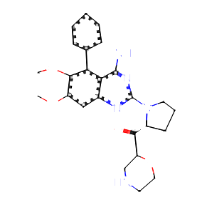 COc1cc2nc(N3CCC[C@H]3C(=O)C3CNCCO3)nc(N)c2c(-c2ccccc2)c1OC